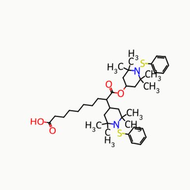 CC1(C)CC(OC(=O)C(CCCCCCCC(=O)O)C2CC(C)(C)N(Sc3ccccc3)C(C)(C)C2)CC(C)(C)N1Sc1ccccc1